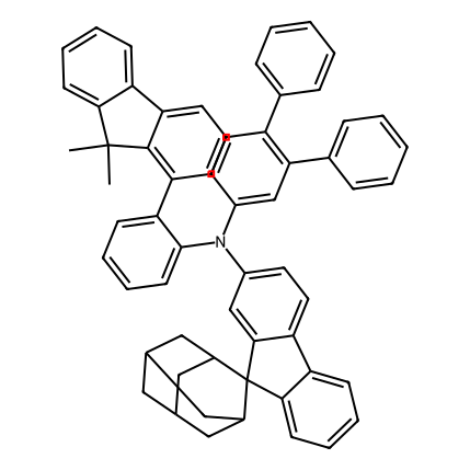 CC1(C)c2ccccc2-c2cccc(-c3ccccc3N(c3ccc(-c4ccccc4)c(-c4ccccc4)c3)c3ccc4c(c3)C3(c5ccccc5-4)C4CC5CC(C4)CC3C5)c21